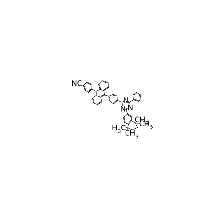 CC1(C)CCC(C)(C)c2cc(-c3nc(-c4ccccc4)nc(-c4ccc(-c5c6ccccc6c(-c6ccc(C#N)cc6)c6ccccc56)cc4)n3)ccc21